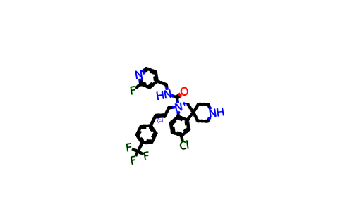 O=C(NCc1ccnc(F)c1)[N+]1(C/C=C/c2ccc(C(F)(F)F)cc2)CC2(CCNCC2)c2cc(Cl)ccc21